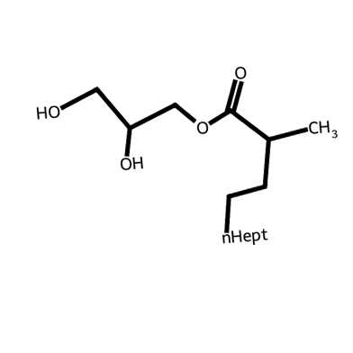 CCCCCCCCCC(C)C(=O)OCC(O)CO